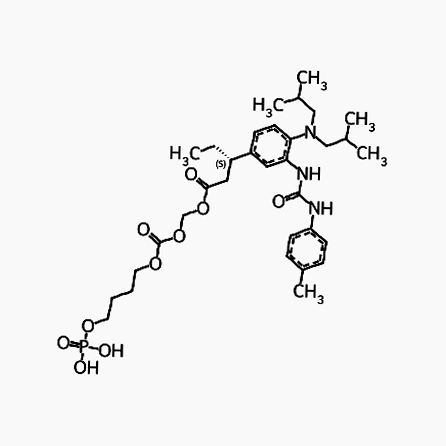 CC[C@@H](CC(=O)OCOC(=O)OCCCCOP(=O)(O)O)c1ccc(N(CC(C)C)CC(C)C)c(NC(=O)Nc2ccc(C)cc2)c1